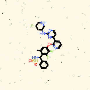 Cc1cc(Oc2ncccc2-c2ccnc(N[C@@H]3CNC[C@@H](F)C3)n2)c(F)c(F)c1C(N[SH](=O)=O)c1ccccc1